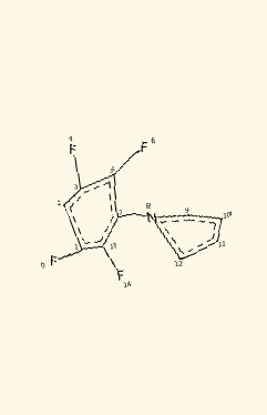 Fc1cc(F)c(F)c(-n2cccc2)c1F